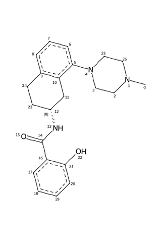 CN1CCN(c2cccc3c2C[C@H](NC(=O)c2ccccc2O)CC3)CC1